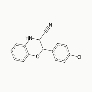 N#CC1Nc2ccccc2OC1c1ccc(Cl)cc1